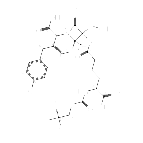 CO[C@@]1(NC(=O)CCCC(NC(=O)OCC(Cl)(Cl)Cl)C(=O)O)C(=O)N2C(C(=O)O)C(Cc3ccc(O)cc3)=CS[C@H]21